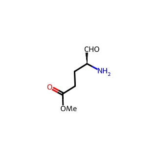 COC(=O)CC[C@H](N)C=O